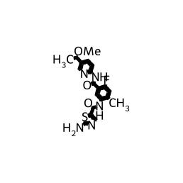 CO[C@@H](C)c1ccc(NC(=O)c2cc(NC(=O)c3cnc(N)s3)c(C)cc2F)nc1